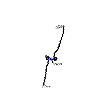 CCCCCCCCCC#CC(C=Nc1ccccc1CCCC#CCCCCCCCCCCCCCCCCCCCCCCCCC)=Nc1ccccc1CCCC#CCCCCCCCCCCCCCCCCCCCCCCCCC.[Pd]